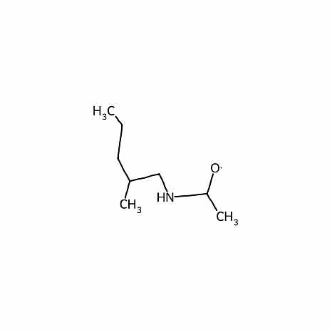 CCCC(C)CNC(C)[O]